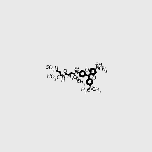 CCN(CCCC(=O)NC(CCS(=O)(=O)O)C(=O)O)c1cc(OC)c(-c2c3ccc(=[N+](C)C)cc-3oc3cc(N(C)C)ccc23)cc1N(C)C